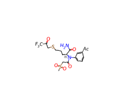 CC(=O)c1cccc(N(C(=O)CS(C)(=O)=O)[C@@H](CCCSCC(=O)C(F)(F)F)C(N)=O)c1